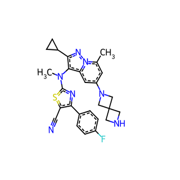 Cc1cc(N2CC3(CNC3)C2)cc2c(N(C)c3nc(-c4ccc(F)cc4)c(C#N)s3)c(C3CC3)nn12